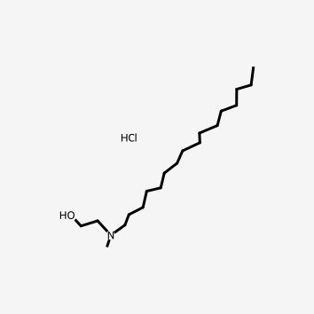 CCCCCCCCCCCCCCCCN(C)CCO.Cl